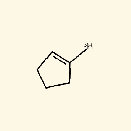 [3H]C1=CCCC1